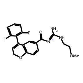 COCCN/C(N)=N/C(=O)c1ccc2c(c1)C(c1c(F)cccc1F)=CCO2